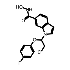 O=C(NO)c1ccc2ccn(C(CCl)Oc3ccc(F)cc3)c2c1